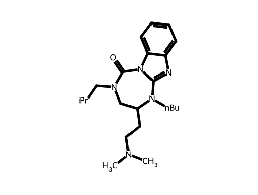 CCCCN1c2nc3ccccc3n2C(=O)N(CC(C)C)CC1CCN(C)C